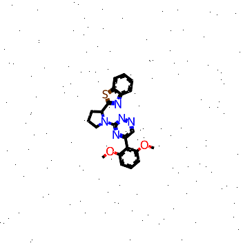 COc1cccc(OC)c1-c1cnnc(N2CCCC2c2nc3ccccc3s2)n1